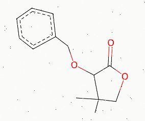 CC1(C)COC(=O)C1OCc1ccccc1